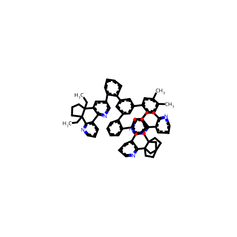 CCC12CCCC1(CC)c1ncccc1-c1ncc(-c3ccccc3-c3cc(-c4ccccc4-c4cnc5c(c4)CCc4ncccc4-5)cc(-c4cc(C)c(C)cc4-c4cnc5c(c4)C46CCC7(CCC4(C7)c4ncccc4-5)C6)c3)cc12